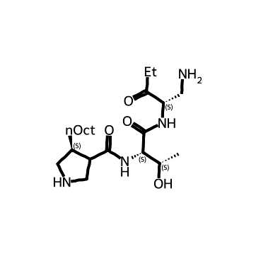 CCCCCCCC[C@@H]1CNCC1C(=O)N[C@H](C(=O)N[C@@H](CN)C(=O)CC)[C@H](C)O